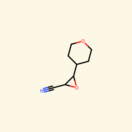 N#CC1OC1C1CCOCC1